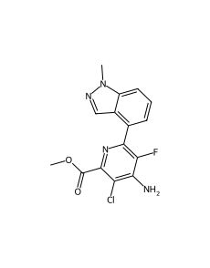 COC(=O)c1nc(-c2cccc3c2cnn3C)c(F)c(N)c1Cl